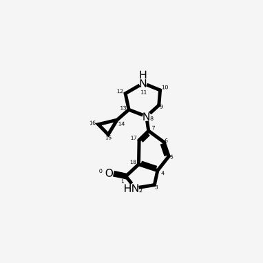 O=C1NCc2ccc(N3CCNCC3C3CC3)cc21